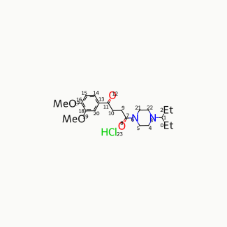 CCC(CC)N1CCN(C(=O)CCC(=O)c2ccc(OC)c(OC)c2)CC1.Cl